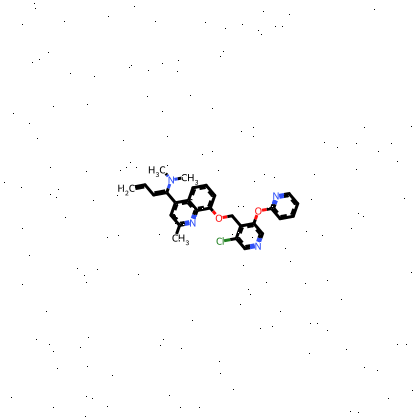 C=C/C=C(/c1cc(C)nc2c(OCc3c(Cl)cncc3Oc3ccccn3)cccc12)N(C)C